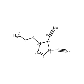 CCCN1N=CN(C#N)C1C#N